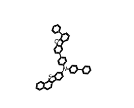 c1ccc(-c2ccc(N(c3ccc(-c4ccc5oc6c(-c7ccccc7)cccc6c5c4)cc3)c3ccc4c(c3)sc3c5ccccc5ccc43)cc2)cc1